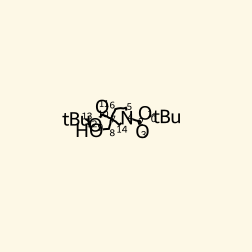 CC(C)(C)OC(=O)N1CCC(CO)(C(=O)OC(C)(C)C)C1